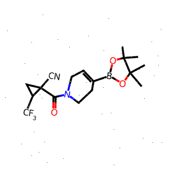 CC1(C)OB(C2=CCN(C(=O)C3(C#N)CC3C(F)(F)F)CC2)OC1(C)C